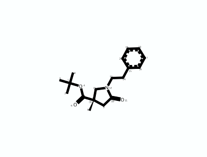 CC(C)(C)OC(=O)[C@@]1(C)CC(=O)N(CCc2ccccc2)C1